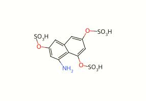 Nc1cc(OS(=O)(=O)O)cc2cc(OS(=O)(=O)O)cc(OS(=O)(=O)O)c12